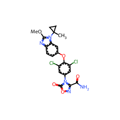 COc1nc2ccc(Oc3c(Cl)cc(-n4c(C(N)=O)noc4=O)cc3Cl)cc2n1C1(C)CC1